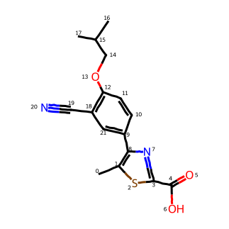 Cc1sc(C(=O)O)nc1-c1ccc(OCC(C)C)c(C#N)c1